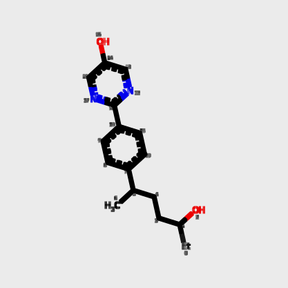 CCC(O)CCC(C)c1ccc(-c2ncc(O)cn2)cc1